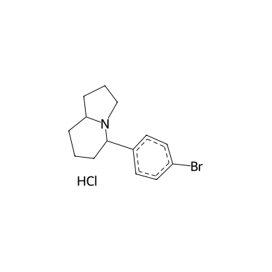 Brc1ccc(C2CCCC3CCCN32)cc1.Cl